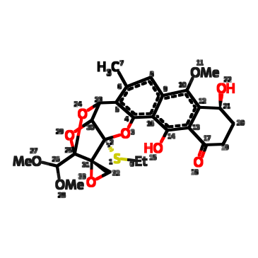 CCS[C@@]12Oc3c(c(C)cc4c(OC)c5c(c(O)c34)C(=O)CC[C@@H]5O)C3OC(C(OC)OC)(OC31)[C@]21CO1